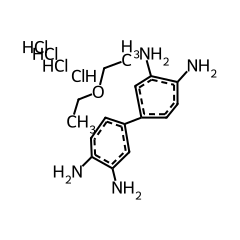 CCOCC.Cl.Cl.Cl.Cl.Nc1ccc(-c2ccc(N)c(N)c2)cc1N